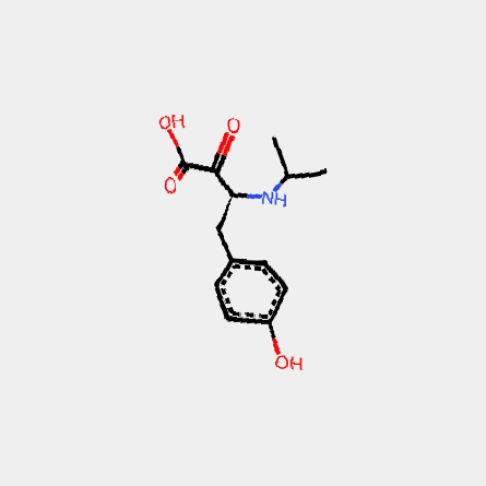 CC(C)N[C@@H](Cc1ccc(O)cc1)C(=O)C(=O)O